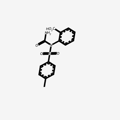 Cc1ccc(S(=O)(=O)N(C(N)=O)c2ccccc2C(=O)O)cc1